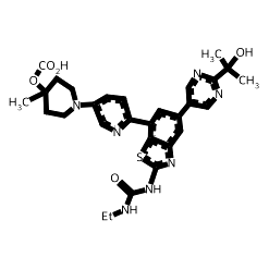 CCNC(=O)Nc1nc2cc(-c3cnc(C(C)(C)O)nc3)cc(-c3ccc(N4CCC(C)(OC(=O)O)CC4)cn3)c2s1